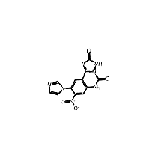 O=c1nc2c3cc(-n4ccnc4)c([N+](=O)[O-])cc3[nH]c(=O)n2[nH]1